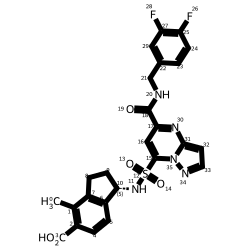 Cc1c(C(=O)O)ccc2c1CC[C@@H]2NS(=O)(=O)c1cc(C(=O)NCc2ccc(F)c(F)c2)nc2ccnn12